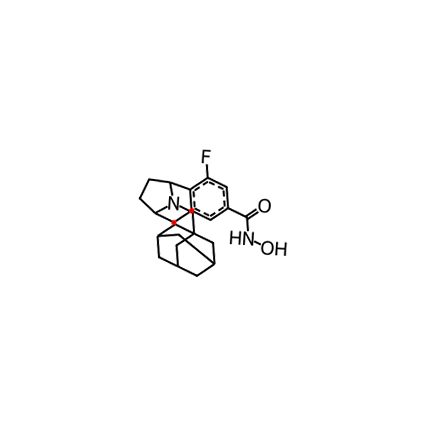 O=C(NO)c1cc(F)c2c(c1)CC1CCC2N1CC12CC3CC(CC(C3)C1)C2